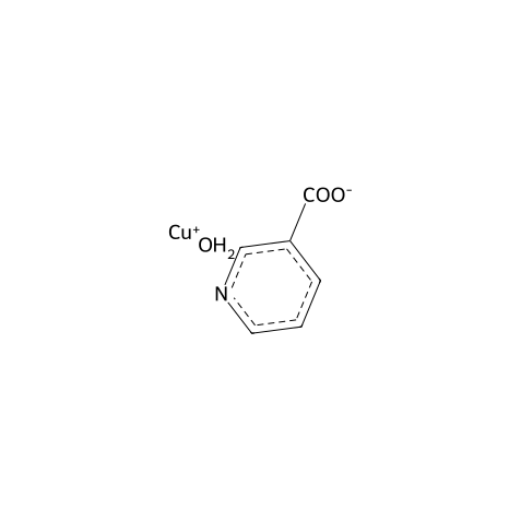 O.O=C([O-])c1cccnc1.[Cu+]